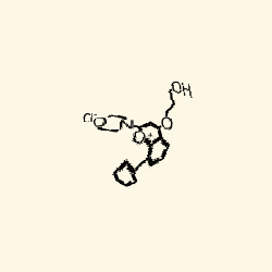 OCCCOc1cc(N2CCOCC2)[o+]c2c(-c3ccccc3)cccc12.[Cl-]